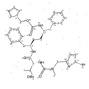 COC(C)[C@@H](NC(=O)N(C)Cc1csc(C(C)C)n1)C(=O)N[C@H](CC[C@H](Cc1ccccc1)NC(=O)OCc1cncs1)Cc1ccccc1